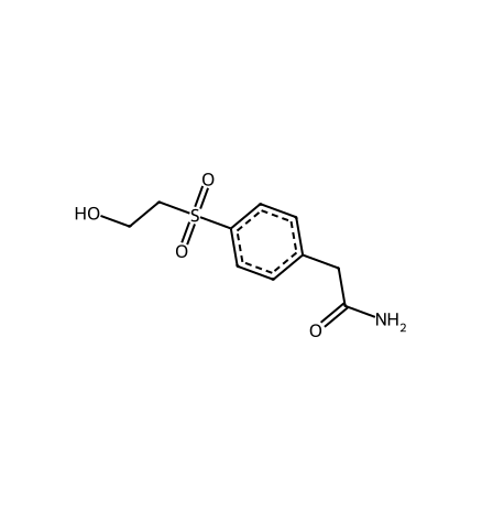 NC(=O)Cc1ccc(S(=O)(=O)CCO)cc1